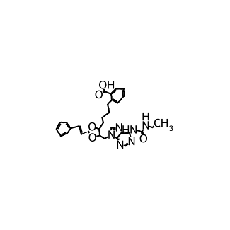 CCNC(=O)Nc1ncnc2c1ncn2CC1O[C@@H](/C=C/c2ccccc2)OC1CCCCc1ccccc1C(=O)O